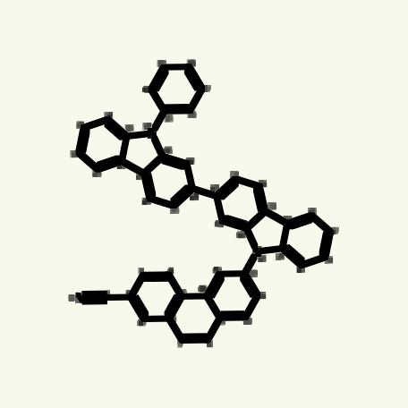 N#Cc1ccc2c(ccc3ccc(-n4c5ccccc5c5ccc(-c6ccc7c8ccccc8n(-c8ccccc8)c7c6)cc54)cc32)c1